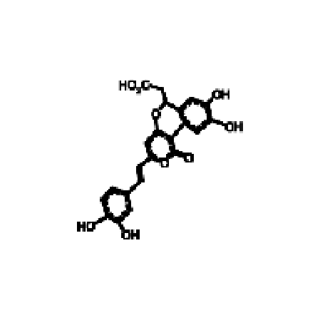 O=C(O)CC1Oc2cc(/C=C/c3ccc(O)c(O)c3)oc(=O)c2-c2cc(O)c(O)cc21